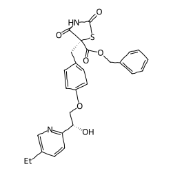 CCc1ccc([C@@H](O)COc2ccc(C[C@@]3(C(=O)OCc4ccccc4)SC(=O)NC3=O)cc2)nc1